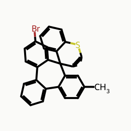 Cc1ccc2c(c1)C1(c3ccccc3Sc3ccccc31)c1cc(Br)ccc1-c1ccccc1-2